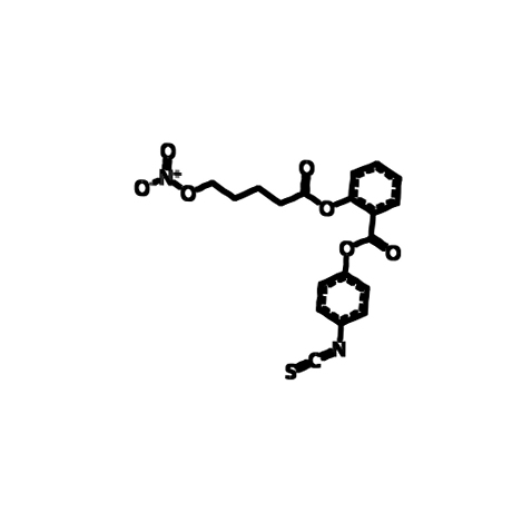 O=C(CCCCO[N+](=O)[O-])Oc1ccccc1C(=O)Oc1ccc(N=C=S)cc1